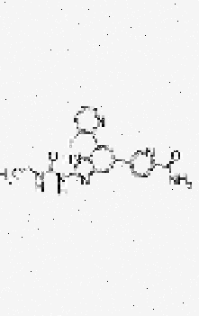 CCNC(=O)Nc1nc2cc(-c3ccc(C(N)=O)nc3)cc(-c3ncccc3F)c2[nH]1